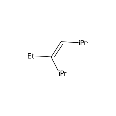 CCC(=C[C](C)C)C(C)C